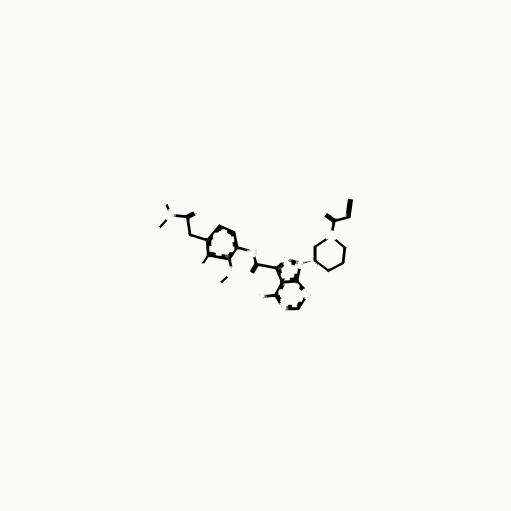 C=CC(=O)N1CCC[C@@H](n2nc(C(=O)Nc3ccc(CC(=O)N(C)C)c(Cl)c3OC)c3c(N)ncnc32)C1